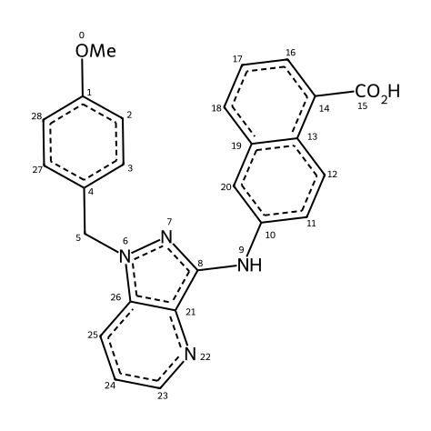 COc1ccc(Cn2nc(Nc3ccc4c(C(=O)O)cccc4c3)c3ncccc32)cc1